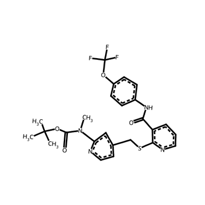 CN(C(=O)OC(C)(C)C)c1cc(CSc2ncccc2C(=O)Nc2ccc(OC(F)(F)F)cc2)ccn1